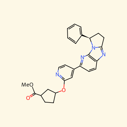 COC(=O)C1CCC(Oc2cc(-c3ccc4nc5n(c4n3)[C@@H](c3ccccc3)CC5)ccn2)C1